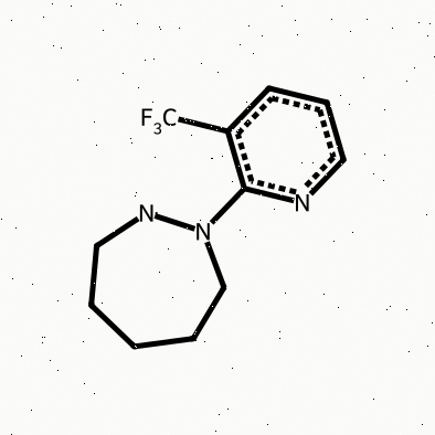 FC(F)(F)c1cccnc1N1CCCCC[N]1